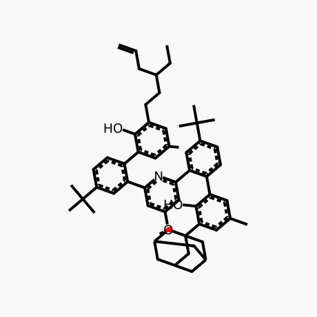 C=CCC(CC)CCc1cc(C)cc(-c2ccc(C(C)(C)C)cc2-c2cc(OC)cc(-c3cc(C(C)(C)C)ccc3-c3cc(C)cc(C45CC6CC(CC(C6)C4)C5)c3O)n2)c1O